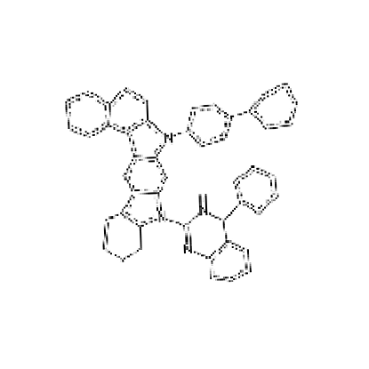 C1=Cc2c(n(C3=Nc4ccccc4C(c4ccccc4)N3)c3cc4c(cc23)c2c3ccccc3ccc2n4-c2ccc(-c3ccccc3)cc2)CC1